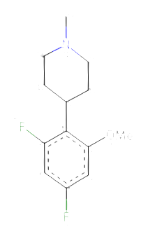 COc1cc(F)cc(F)c1C1CCN(C)CC1